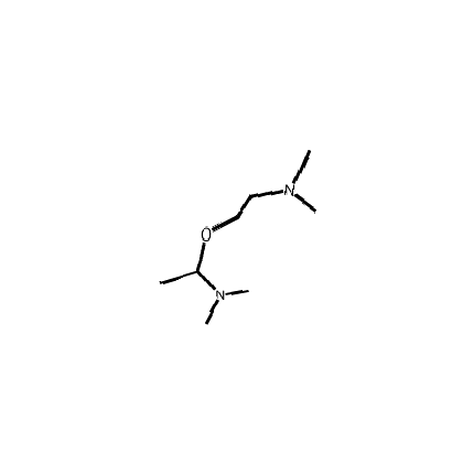 CC(OCCN(C)C)N(C)C